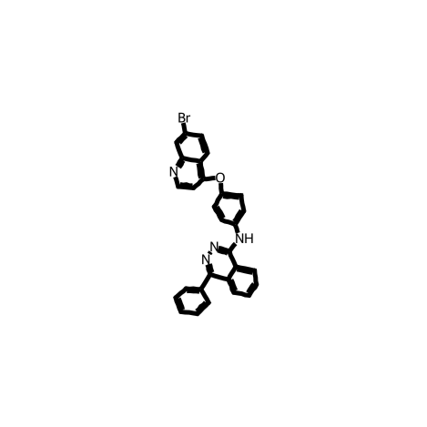 Brc1ccc2c(Oc3ccc(Nc4nnc(-c5ccccc5)c5ccccc45)cc3)ccnc2c1